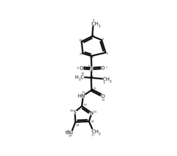 Cc1ccc(S(=O)(=O)C(C)(C)C(=O)Nc2nc(C)c(C(C)(C)C)s2)cc1